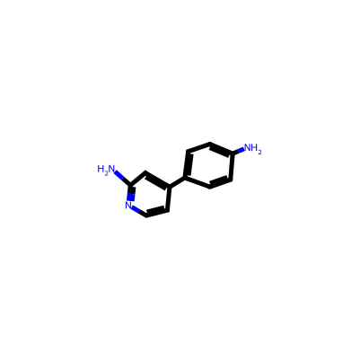 Nc1ccc(-c2[c]c(N)ncc2)cc1